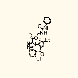 CCc1cc(C(=O)c2ccccc2Cl)c(-n2cnnc2C(=O)OCNC(=O)Nc2ccccc2)s1